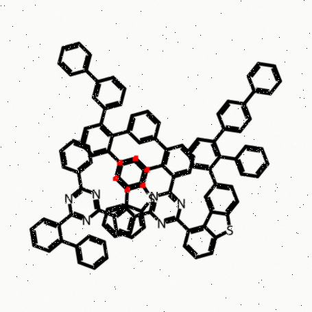 c1ccc(-c2ccc(-c3cccc(-c4ccc5sc6cccc(-c7nc(-c8ccccc8)nc(-c8cccc(-c9cccc(-c%10c(-c%11cccc(-c%12ccccc%12)c%11)cccc%10-c%10ccc%11sc%12cccc(-c%13nc(-c%14ccccc%14)nc(-c%14ccccc%14-c%14ccccc%14)n%13)c%12c%11c%10)c9)c8-c8ccccc8)n7)c6c5c4)c3-c3ccccc3)cc2)cc1